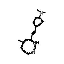 Cc1cccnc[nH]c(C#Cc2ccc(N(C)C)cc2)c1